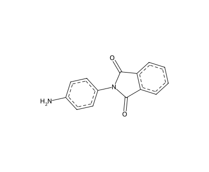 Nc1ccc(N2C(=O)c3ccccc3C2=O)cc1